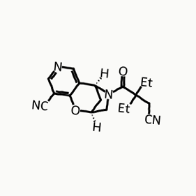 CCC(CC)(CC#N)C(=O)N1C[C@@H]2C[C@H]1c1cncc(C#N)c1O2